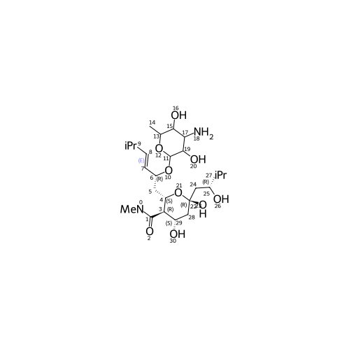 CNC(=O)[C@H]1[C@H](C[C@H](/C=C/C(C)C)OC2OC(C)C(O)C(N)C2O)O[C@](O)(C[C@@H](O)C(C)C)C[C@@H]1O